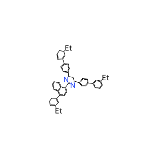 CCC1=CCCC(c2ccc(C3=NC(c4ccc(-c5cccc(CC)c5)cc4)CC(c4ccc(C5=CC(CC)CC=C5)cc4)=N3)c3ccccc23)=C1